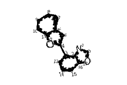 [c]1nc2c(-c3cc4ccccc4o3)cccc2o1